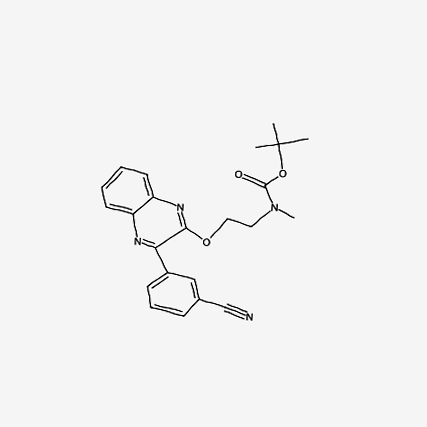 CN(CCOc1nc2ccccc2nc1-c1cccc(C#N)c1)C(=O)OC(C)(C)C